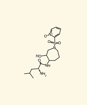 CC(C)C[C@H](N)C(=O)NC1CCCN(S(=O)(=O)c2cccc[n+]2[O-])CC1O